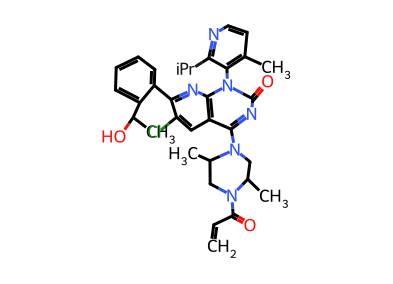 C=CC(=O)N1CC(C)N(c2nc(=O)n(-c3c(C)ccnc3C(C)C)c3nc(-c4ccccc4C(C)O)c(Cl)cc23)CC1C